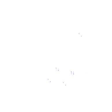 c1ccc(-c2nc(-c3ccccc3)nc(-n3cc(-c4cccc(-n5c6ccccc6c6ccccc65)c4)c4ccccc43)n2)cc1